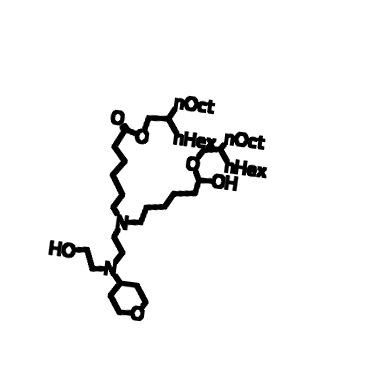 CCCCCCCCC(CCCCCC)COC(=O)CCCCCN(CCCCCC(O)OCC(CCCCCC)CCCCCCCC)CCN(CCO)C1CCOCC1